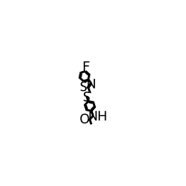 CC(=O)Nc1ccc(SCc2nc3cc(F)ccc3s2)cc1